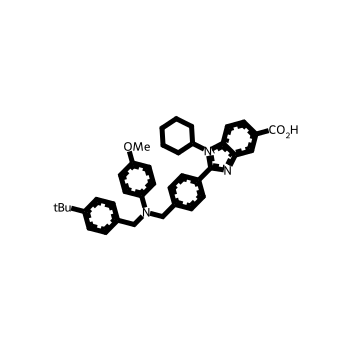 COc1ccc(N(Cc2ccc(-c3nc4cc(C(=O)O)ccc4n3C3CCCCC3)cc2)Cc2ccc(C(C)(C)C)cc2)cc1